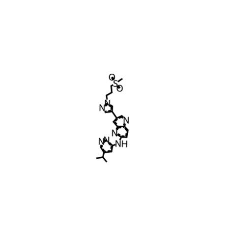 CC(C)c1cnnc(Nc2ccc3ncc(-c4cnn(CCCS(C)(=O)=O)c4)cc3n2)c1